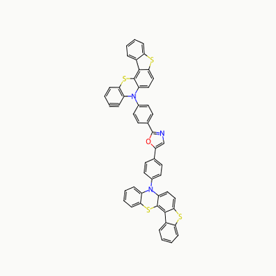 c1ccc2c(c#1)N(c1ccc(-c3ncc(-c4ccc(N5c6ccccc6Sc6c5ccc5sc7ccccc7c65)cc4)o3)cc1)c1ccc3sc4ccccc4c3c1S2